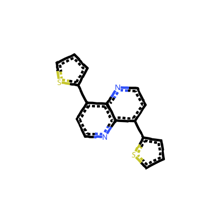 c1csc(-c2ccnc3c(-c4cccs4)ccnc23)c1